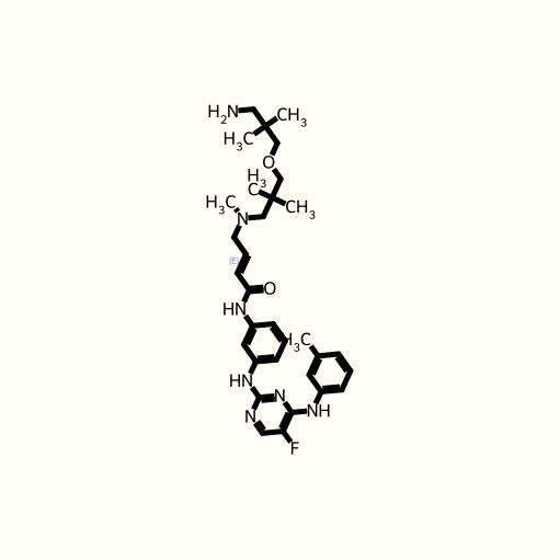 Cc1cccc(Nc2nc(Nc3cccc(NC(=O)/C=C/CN(C)CC(C)(C)COCC(C)(C)CN)c3)ncc2F)c1